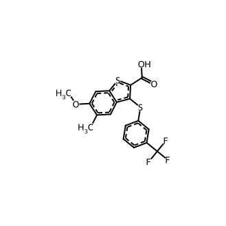 COc1cc2sc(C(=O)O)c(Sc3cccc(C(F)(F)F)c3)c2cc1C